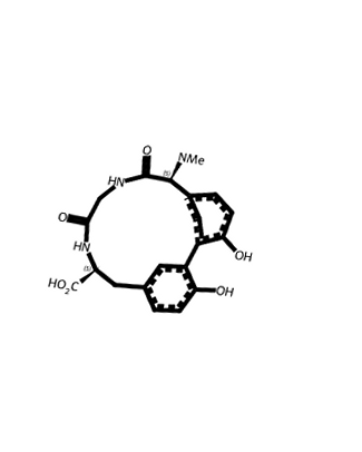 CN[C@@H]1C(=O)NCC(=O)N[C@H](C(=O)O)Cc2ccc(O)c(c2)-c2cc1ccc2O